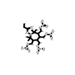 CCC(=O)ON1C(C)(C)C(CO[N+](=O)[O-])C(CO[N+](=O)[O-])C(CO[N+](=O)[O-])C(CO[N+](=O)[O-])C1(C)C